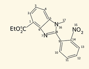 CCOC(=O)c1cccc2c1nc(-c1ccccc1[N+](=O)[O-])n2C